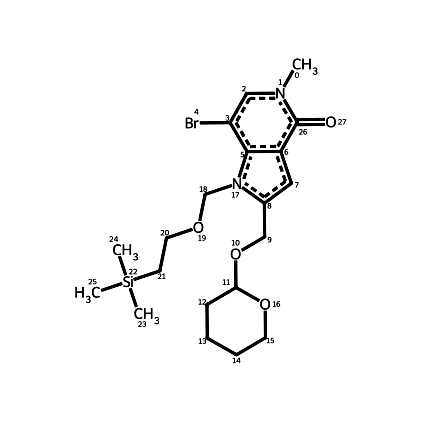 Cn1cc(Br)c2c(cc(COC3CCCCO3)n2COCC[Si](C)(C)C)c1=O